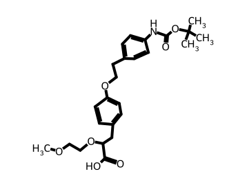 COCCOC(Cc1ccc(OCCc2ccc(NC(=O)OC(C)(C)C)cc2)cc1)C(=O)O